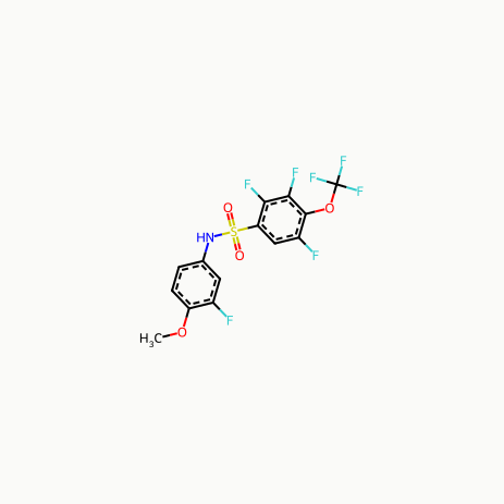 COc1ccc(NS(=O)(=O)c2cc(F)c(OC(F)(F)F)c(F)c2F)cc1F